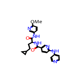 COc1ccc(NC(=O)C(CCC2CC2)NC(=O)c2ccc(Nc3ccncc3)nc2)cn1